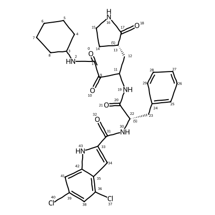 O=C(NC1CCCCC1)C(=O)C(C[C@@H]1CCNC1=O)NC(=O)[C@H](Cc1ccccc1)NC(=O)c1cc2c(Cl)cc(Cl)cc2[nH]1